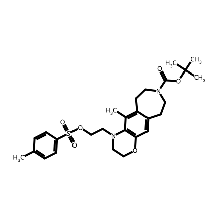 Cc1ccc(S(=O)(=O)OCCN2CCOc3cc4c(c(C)c32)CCN(C(=O)OC(C)(C)C)CC4)cc1